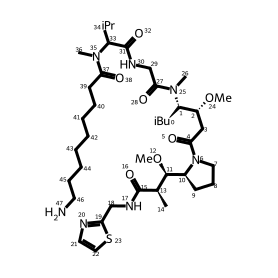 CC[C@H](C)[C@@H]([C@@H](CC(=O)N1CCC[C@H]1[C@H](OC)[C@@H](C)C(=O)NCc1nccs1)OC)N(C)C(=O)CNC(=O)C(C(C)C)N(C)C(=O)CCCCCCCCN